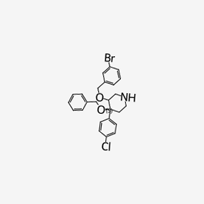 Clc1ccc([C@@]2(OCc3ccccc3)CCNCC2OCc2cccc(Br)c2)cc1